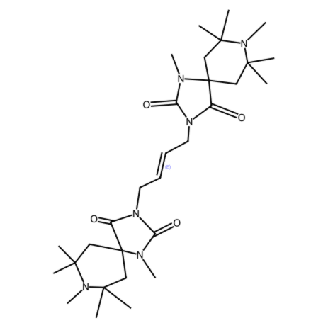 CN1C(C)(C)CC2(CC1(C)C)C(=O)N(C/C=C/CN1C(=O)N(C)C3(CC(C)(C)N(C)C(C)(C)C3)C1=O)C(=O)N2C